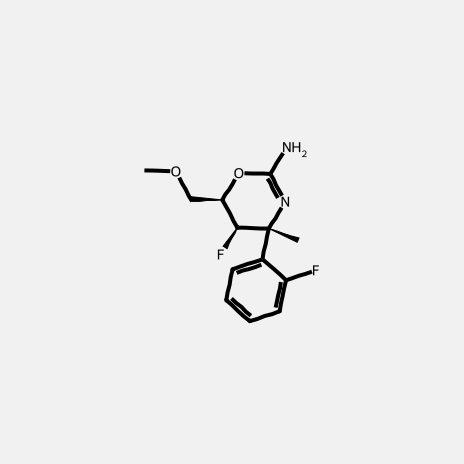 COC[C@H]1OC(N)=N[C@](C)(c2ccccc2F)[C@H]1F